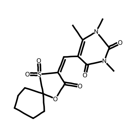 Cc1c(/C=C2\C(=O)OC3(CCCCC3)S2(=O)=O)c(=O)n(C)c(=O)n1C